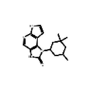 CC1CC(n2c(=O)[nH]c3cnc4[nH]ccc4c32)CC(C)(C)C1